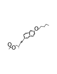 CCCCCOc1ccc2cc(C#C[CH]COC(C)=O)ccc2c1